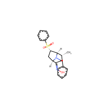 C[C@@H]1CC(=NO)[C@H]2C[C@H](S(=O)(=O)c3ccccc3)[C@@H]1N2Cc1ccccc1